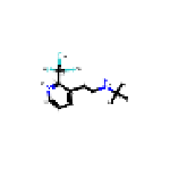 CC(C)(C)NCCc1cccnc1C(F)(F)F